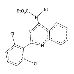 CCOC(=O)N(CC)c1nc(-c2c(Cl)cccc2Cl)nc2ccccc12